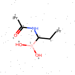 CC(C)CC(NC(=O)C(C)C)B(O)O